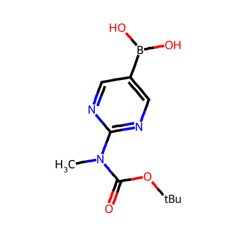 CN(C(=O)OC(C)(C)C)c1ncc(B(O)O)cn1